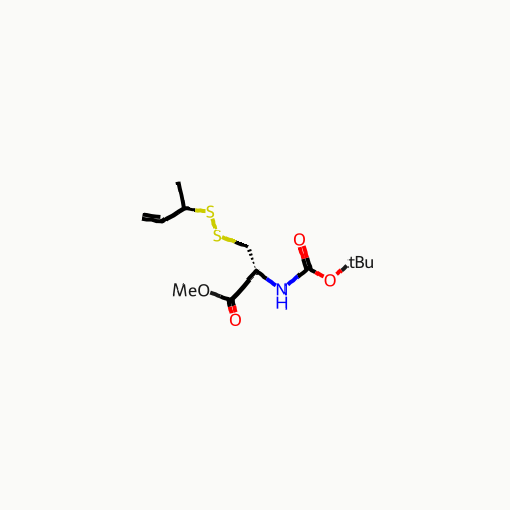 C=CC(C)SSC[C@H](NC(=O)OC(C)(C)C)C(=O)OC